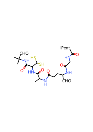 CCCC(C)C(=O)NCC(=O)NC(C=O)CCC(=O)NC(C)C(=O)NC(C(=O)NC(C)(C)C=O)C(S)S